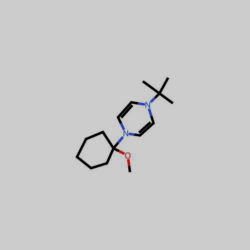 COC1(N2C=CN(C(C)(C)C)C=C2)CCCCC1